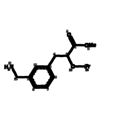 COC(=O)C(Cc1cccc(CN)c1)OC(C)C